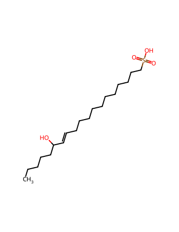 CCCCCC(O)C=CCCCCCCCCCCCS(=O)(=O)O